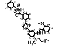 CC(C)CCN(C)c1ccc(-c2noc(-c3cccc(C(=O)NS(=O)(=O)c4ccccc4)c3)n2)cc1NCc1ccccc1O